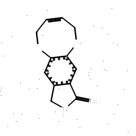 N=C1NCc2cc3c(cc21)OC/C=C\CO3